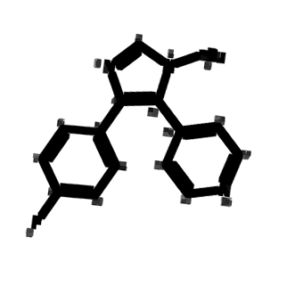 CCCCn1cnc(-c2ccc(F)cc2)c1-c1ccncc1